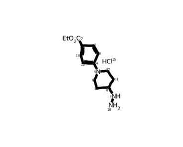 CCOC(=O)c1ccc(N2CCC(NN)CC2)cc1.Cl